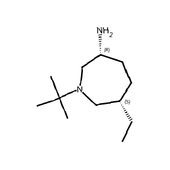 CC[C@H]1CC[C@@H](N)CN(C(C)(C)C)C1